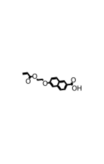 C=CC(=O)OCCOc1ccc2cc(C(=O)O)ccc2c1